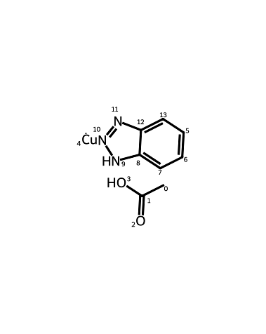 CC(=O)O.[Cu].c1ccc2[nH]nnc2c1